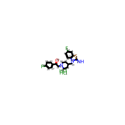 Cl.Cl.N=c1sc2cc(F)ccc2n1CC1CCN(CC(=O)c2ccc(F)cc2)CC1